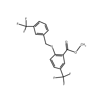 COC(=O)c1cc(C(F)(F)F)ccc1SCc1cccc(C(F)(F)F)c1